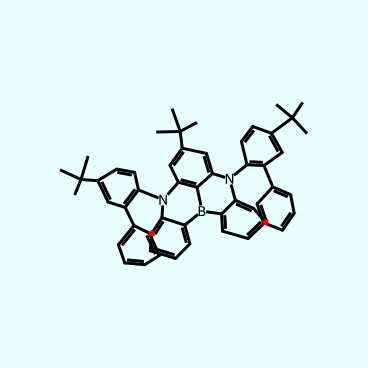 CC(C)(C)c1ccc(N2c3ccccc3B3c4ccccc4N(c4ccc(C(C)(C)C)cc4-c4ccccc4)c4cc(C(C)(C)C)cc2c43)c(-c2ccccc2)c1